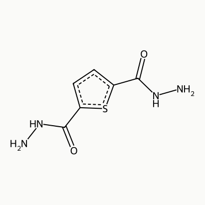 NNC(=O)c1ccc(C(=O)NN)s1